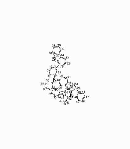 c1ccc(N(c2cccc(-c3cccc4c3sc3ccccc34)c2)c2cccc3c2-c2ccccc2C32c3ccccc3-n3c4ccccc4c4cccc2c43)cc1